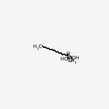 CCCCCCCCC=CCCCCCCCC(=O)N(CC(=O)O)C(C)O